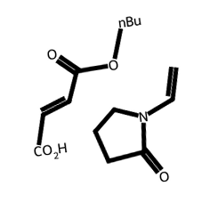 C=CN1CCCC1=O.CCCCOC(=O)C=CC(=O)O